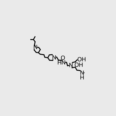 CNCCCCN(CCNC(=O)CCN1CCC(CCCC2CCN(CCC(C)C)CC2)CC1)CC(O)CO